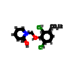 CCOC(=O)c1ccc(Cl)c(OCn2ccccc2=O)c1Cl